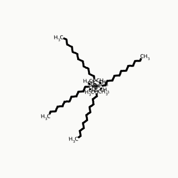 CCCCCCCCCCCC[PH](C)(C)[Ni]([PH](C)(C)CCCCCCCCCCCC)([PH](C)(C)CCCCCCCCCCCC)[PH](C)(C)CCCCCCCCCCCC